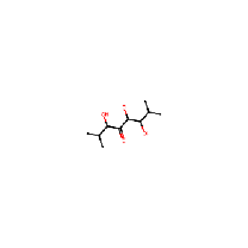 CC(C)C(O)C(=O)C(O)C(O)C(C)C